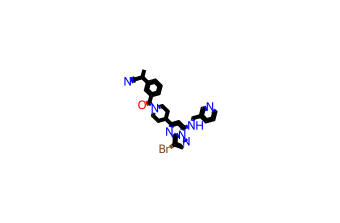 CC(C#N)c1cccc(C(=O)N2CCC(c3cc(NCc4cccnc4)n4ncc(Br)c4n3)CC2)c1